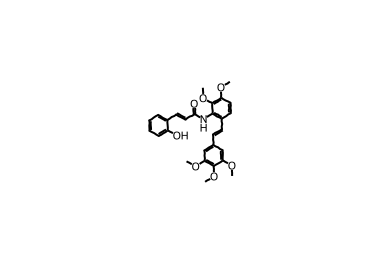 COc1cc(/C=C/c2ccc(OC)c(OC)c2NC(=O)/C=C/c2ccccc2O)cc(OC)c1OC